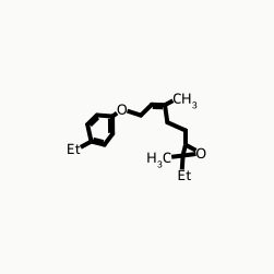 CCc1ccc(OCC=C(C)CCC2OC2(C)CC)cc1